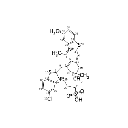 CC[n+]1c(C=C2C=C(CC3Sc4ccc(Cl)cc4N3CCCS(=O)(=O)O)CC(C)(C)C2)sc2ccc(C)cc21